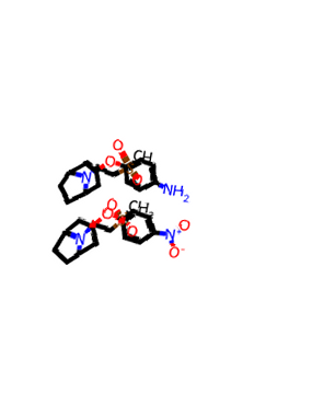 CS(=O)(=O)CCN1C2CCC1CC(Oc1ccc(N)cc1)C2.CS(=O)(=O)CCN1C2CCC1CC(Oc1ccc([N+](=O)[O-])cc1)C2